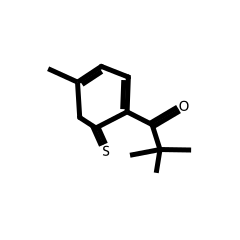 CC1=CC=C(C(=O)C(C)(C)C)C(=S)C1